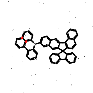 c1ccc(-c2ccccc2N(c2ccccc2)c2ccc3cc4c(cc3c2)C2(c3ccccc3-c3ccccc32)c2ccc3ccccc3c2-4)cc1